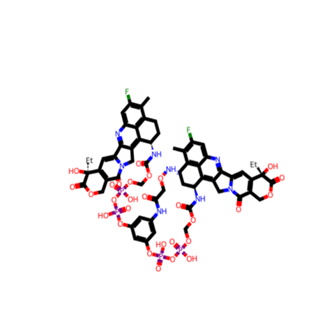 CC[C@@]1(O)C(=O)OCc2c1cc1n(c2=O)Cc2c-1nc1cc(F)c(C)c3c1c2[C@@H](NC(=O)OCOP(=O)(O)OP(=O)(O)Oc1cc(NC(=O)CON)cc(OP(=O)(O)OP(=O)(O)OCOC(=O)N[C@H]2CCc4c(C)c(F)cc5nc6c(c2c45)Cn2c-6cc4c(c2=O)COC(=O)[C@]4(O)CC)c1)CC3